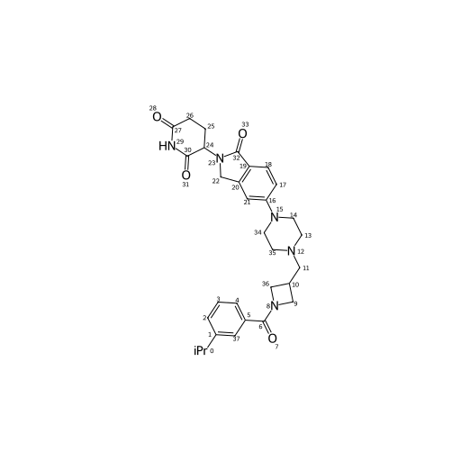 CC(C)c1cccc(C(=O)N2CC(CN3CCN(c4ccc5c(c4)CN(C4CCC(=O)NC4=O)C5=O)CC3)C2)c1